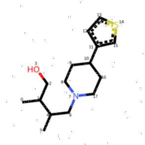 CC(CO)C(C)CN1CCC(c2ccsc2)CC1